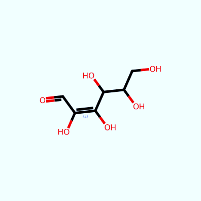 O=C/C(O)=C(/O)C(O)C(O)CO